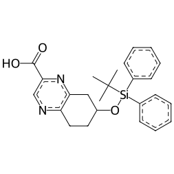 CC(C)(C)[Si](OC1CCc2ncc(C(=O)O)nc2C1)(c1ccccc1)c1ccccc1